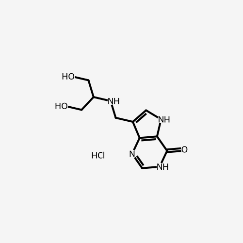 Cl.O=c1[nH]cnc2c(CNC(CO)CO)c[nH]c12